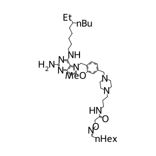 CCCCCC/C=N\OCC(=O)NCCCN1CCN(Cc2ccc(Cn3ccc4nc(N)nc(NCCCCCC(CC)CCCC)c43)c(OC)c2)CC1